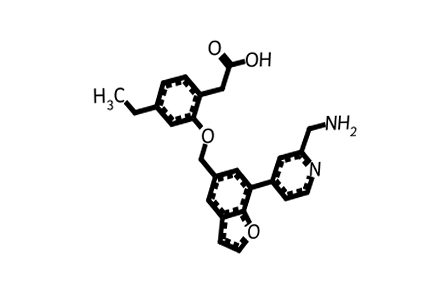 CCc1ccc(CC(=O)O)c(OCc2cc(-c3ccnc(CN)c3)c3occc3c2)c1